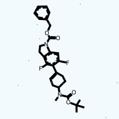 CN(C(=O)OC(C)(C)C)C1CC=C(c2c(F)cc3c(c2F)CCN3C(=O)OCc2ccccc2)CC1